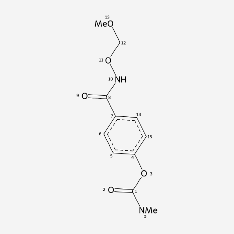 CNC(=O)Oc1ccc(C(=O)NOCOC)cc1